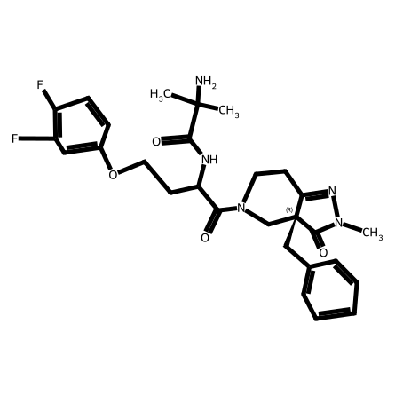 CN1N=C2CCN(C(=O)C(CCOc3ccc(F)c(F)c3)NC(=O)C(C)(C)N)C[C@@]2(Cc2ccccc2)C1=O